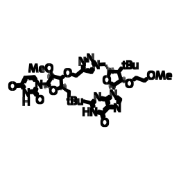 COCCO[C@H]1C(C(C)(C)C)[C@@H](Cn2cc(COC3[C@@H](CC(C)(C)C)O[C@@H](n4ccc(=O)[nH]c4=O)[C@H]3OC)nn2)O[C@H]1n1cnc2c(=O)[nH]c(C)nc21